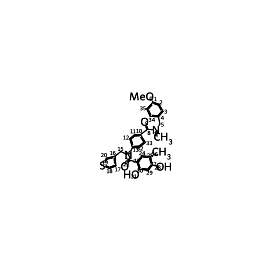 COc1ccc(CN(C)C(=O)c2ccc(N(Cc3ccsc3)C(=O)c3cc(C)c(O)cc3O)cc2)cc1